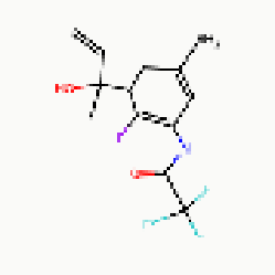 BC1=CC(NC(=O)C(F)(F)F)=C(I)C(C(C)(O)C=C)C1